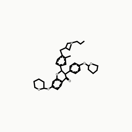 CCCN1CC(Cc2ccc(C3Oc4cc(OC5CCCCO5)ccc4C(=O)C3c3ccc(OC4CCCCO4)cc3)cc2C)C1